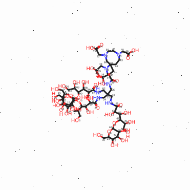 CC(CO)C(OC1OC(CO)C(O)C(O)C1O)C(O)C(O)C(=O)NCC(CNC(=O)CCC1(N(CC(=O)O)CC(=O)O)CCN(CC(=O)O)CCN(CC(=O)O)C1)(CNC(=O)C(O)C(O)C(OC1OC(CO)C(O)C(O)C1O)C(O)CO)CNC(=O)C(O)C(O)C(OC1OC(CO)C(O)C(O)C1O)C(O)CO